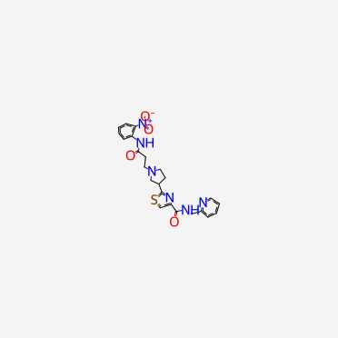 O=C(CCN1CCC(c2nc(C(=O)NCc3ccccn3)cs2)C1)Nc1ccccc1[N+](=O)[O-]